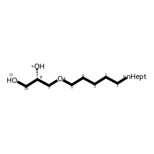 CCCCCCCCCCCCOC[C@@H](O)CO